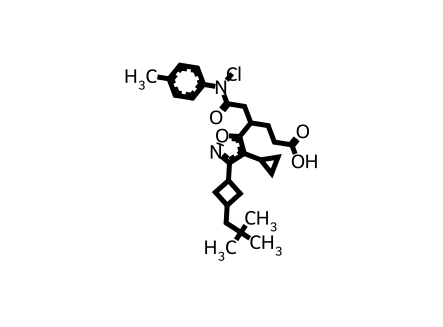 Cc1ccc(N(Cl)C(=O)CC(CCC(=O)O)c2onc(C3CC(CC(C)(C)C)C3)c2C2CC2)cc1